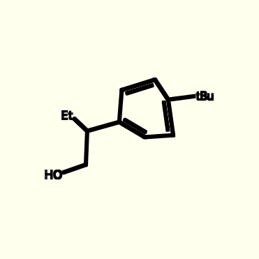 CCC(CO)c1ccc(C(C)(C)C)cc1